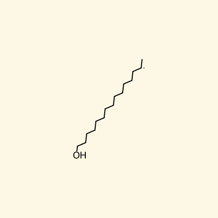 C[CH]CCCCCCCCCCCCCO